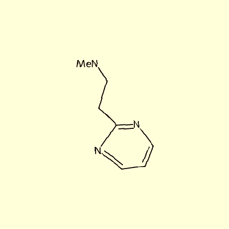 [CH2]NCCc1ncccn1